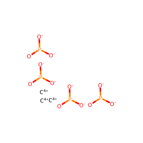 [C+4].[C+4].[C+4].[O-]P([O-])[O-].[O-]P([O-])[O-].[O-]P([O-])[O-].[O-]P([O-])[O-]